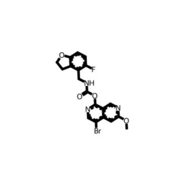 COc1cc2c(Br)cnc(OC(=O)NCc3c(F)ccc4c3CCO4)c2cn1